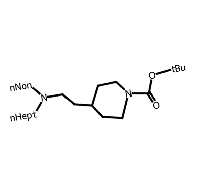 CCCCCCCCCN(CCCCCCC)CCC1CCN(C(=O)OC(C)(C)C)CC1